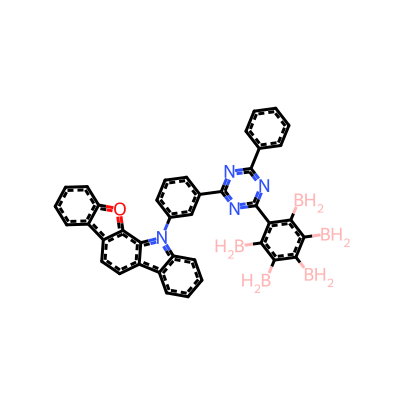 Bc1c(B)c(B)c(-c2nc(-c3ccccc3)nc(-c3cccc(-n4c5ccccc5c5ccc6c7ccccc7oc6c54)c3)n2)c(B)c1B